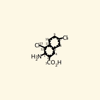 Nc1c(C(=O)O)cc2cc(Cl)ccc2c1Cl